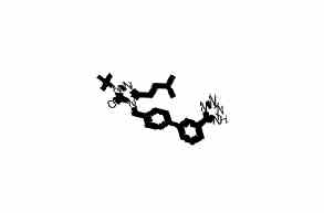 CC(C)CCc1nn(C(C)(C)C)c(=O)n1Cc1ccc(-c2cccc(-c3nnn[nH]3)c2)cc1